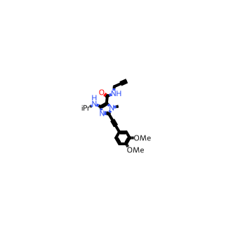 C#CCNC(=O)c1c(NC(C)C)nc(C#Cc2ccc(OC)c(OC)c2)n1C